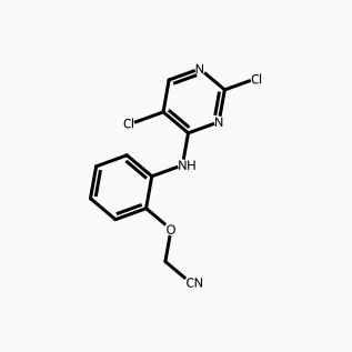 N#CCOc1ccccc1Nc1nc(Cl)ncc1Cl